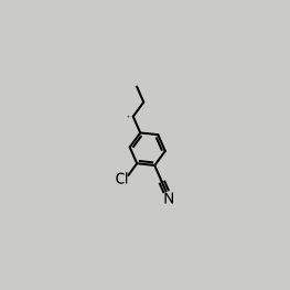 CC[CH]c1ccc(C#N)c(Cl)c1